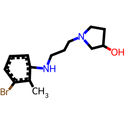 Cc1c(Br)cccc1NCCCN1CCC(O)C1